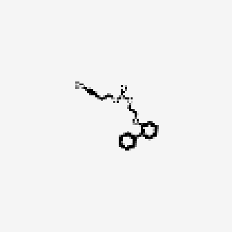 CCC#CCCOS(=O)OCCOc1ccccc1-c1ccccc1